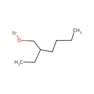 CCCCC(CC)COBr